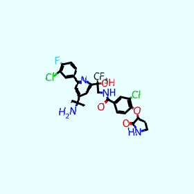 CC(C)(N)c1cc(-c2ccc(F)c(Cl)c2)nc(C(O)(CNC(=O)c2ccc(OC3CCNC3=O)c(Cl)c2)C(F)(F)F)c1